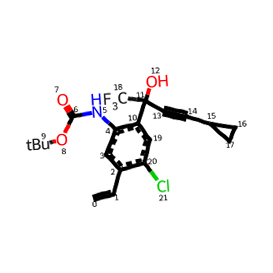 C=Cc1cc(NC(=O)OC(C)(C)C)c(C(O)(C#CC2CC2)C(F)(F)F)cc1Cl